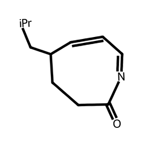 CC(C)CC1/C=C\C=N/C(=O)CC1